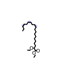 CC/C=C\C/C=C\C/C=C\CCCCCCCCC(OCC)C(=O)OCC